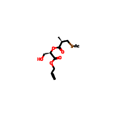 C=CCOC(=O)[C@H](CO)OC(=O)[C@H](C)CSC(C)=O